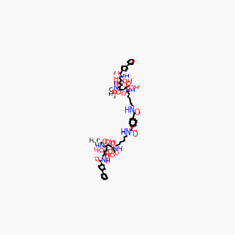 CC(=O)N[C@H]1[C@H]([C@H](O)[C@H](O)CNC(=O)c2ccc(-c3ccccc3)cc2)O[C@@](NC(=O)CCCCCNC(=O)c2ccc(C(=O)NCCCCCC(=O)N[C@]3(C(=O)O)C[C@H](O)[C@@H](NC(C)=O)[C@H]([C@H](O)[C@H](O)CNC(=O)c4ccc(-c5ccccc5)cc4)O3)cc2)(C(=O)O)C[C@@H]1O